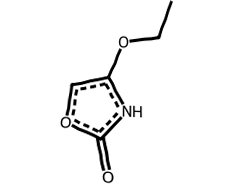 CCOc1coc(=O)[nH]1